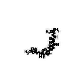 CC(C)OC(=O)CCNC(=O)N[C@H]1CCN(c2ccc(C(=N)NOC(=O)NCCN(C)C)cc2)C1=O